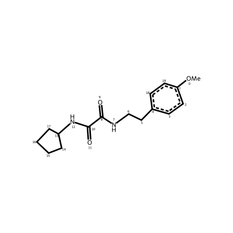 COc1ccc(CCNC(=O)C(=O)NC2CCCC2)cc1